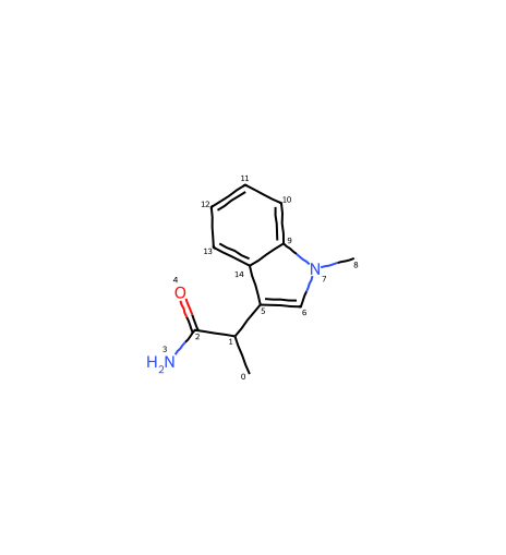 CC(C(N)=O)c1cn(C)c2ccccc12